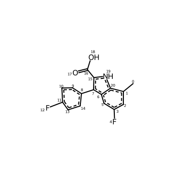 Cc1cc(F)cc2c(-c3ccc(F)cc3)c(C(=O)O)[nH]c12